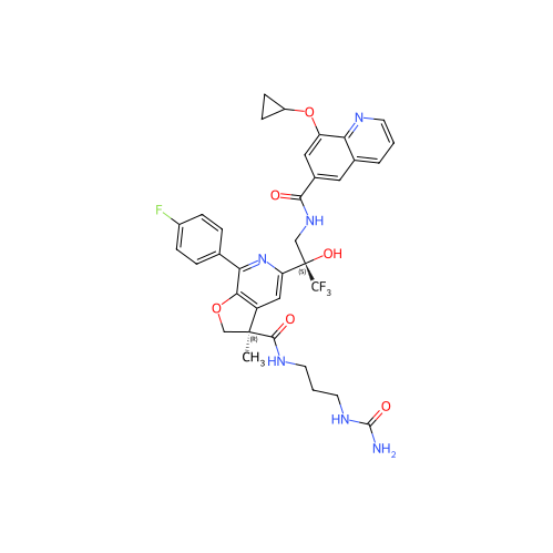 C[C@]1(C(=O)NCCCNC(N)=O)COc2c1cc([C@@](O)(CNC(=O)c1cc(OC3CC3)c3ncccc3c1)C(F)(F)F)nc2-c1ccc(F)cc1